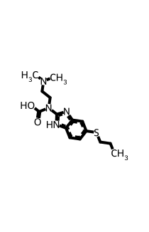 CCCSc1ccc2[nH]c(N(CCN(C)C)C(=O)O)nc2c1